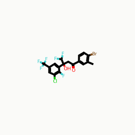 Cc1cc(C(=O)CC(O)(c2cc(C(F)(F)F)cc(Cl)c2F)C(F)F)ccc1Br